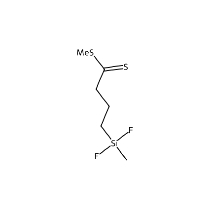 CSC(=S)CCC[Si](C)(F)F